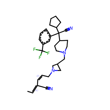 C/C=C(C#N)\C=C/CN1CC(CN2CCC(C(C#N)(c3cccc(C(F)(F)F)c3)C3CCCC3)CC2)C1